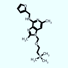 Cc1cc2c(nc(C)n2COCC[Si](C)(C)C)c(NCc2ccco2)n1